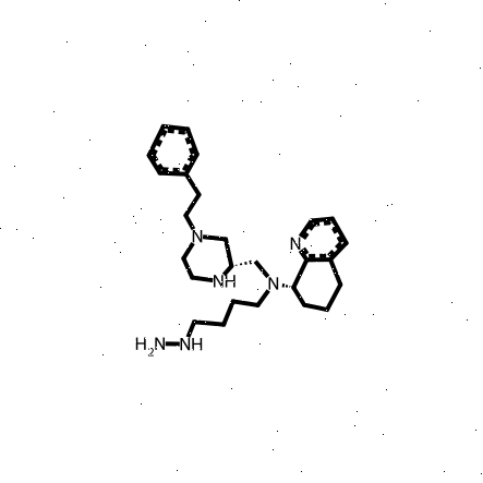 NNCCCCN(C[C@H]1CN(CCc2ccccc2)CCN1)[C@H]1CCCc2cccnc21